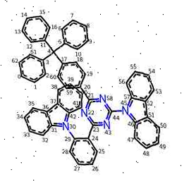 c1ccc(C(c2ccccc2)(c2ccccc2)c2ccc(-c3nc(-c4ccccc4-n4c5ccccc5c5ccccc54)nc(-n4c5ccccc5c5ccccc54)n3)cc2)cc1